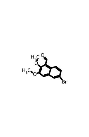 COc1cc2cc(Br)ccc2c(C=O)c1OC